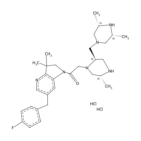 C[C@@H]1CN(CC(=O)N2CC(C)(C)c3ncc(Cc4ccc(F)cc4)cc32)[C@@H](CN2C[C@@H](C)N[C@@H](C)C2)CN1.Cl.Cl